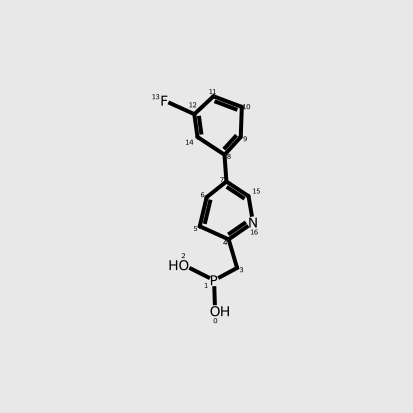 OP(O)Cc1ccc(-c2cccc(F)c2)cn1